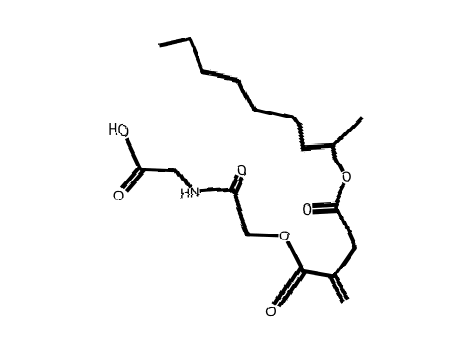 C=C(CC(=O)OC(C)CCCCCCC)C(=O)OCC(=O)NCC(=O)O